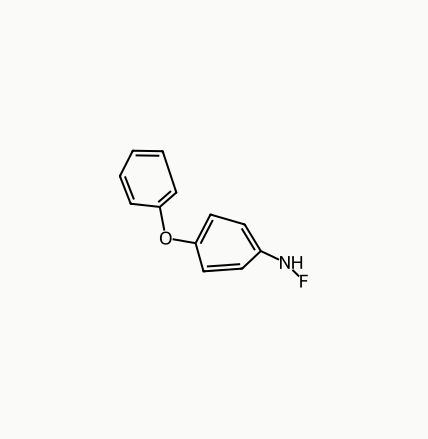 FNc1ccc(Oc2ccccc2)cc1